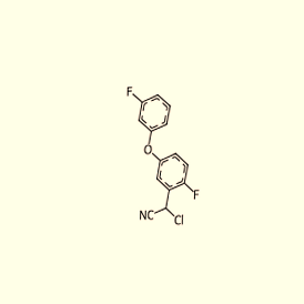 N#CC(Cl)c1cc(Oc2cccc(F)c2)ccc1F